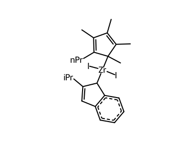 CCCC1=C(C)C(C)=C(C)[C]1(C)[Zr]([I])([I])[CH]1C(C(C)C)=Cc2ccccc21